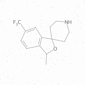 CC1OC2(CCNCC2)c2cc(C(F)(F)F)ccc21